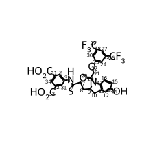 O=C(O)c1cc(NC(=S)CCC2Cc3cc(O)ccc3N2C(=O)COc2cc(C(F)(F)F)cc(C(F)(F)F)c2)cc(C(=O)O)c1